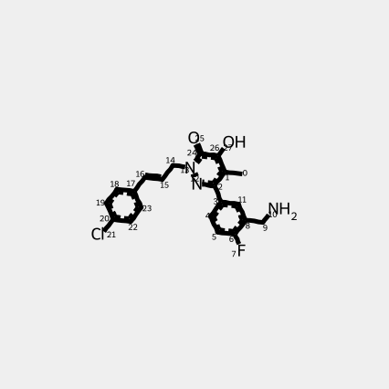 Cc1c(-c2ccc(F)c(CN)c2)nn(CC=Cc2ccc(Cl)cc2)c(=O)c1O